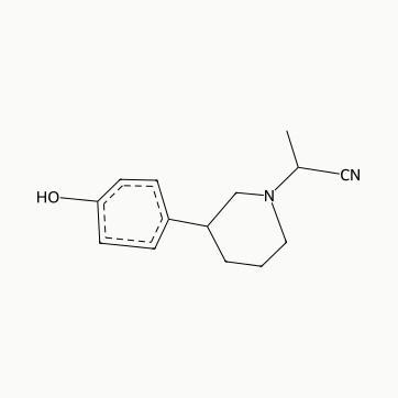 CC(C#N)N1CCCC(c2ccc(O)cc2)C1